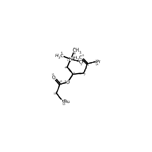 C=C(CC(C[N+](C)(C)C)OC(=O)CC(C)(C)C)C(C)C